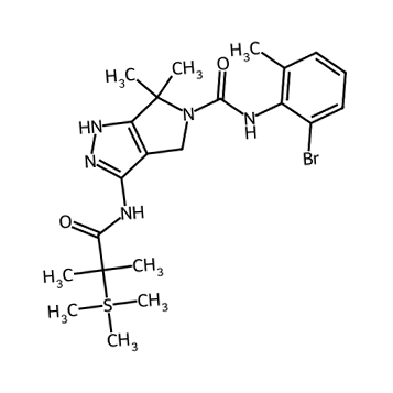 Cc1cccc(Br)c1NC(=O)N1Cc2c(NC(=O)C(C)(C)S(C)(C)C)n[nH]c2C1(C)C